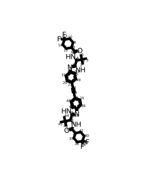 CC(C)(C)C(NC(=O)C1CCC(F)(F)CC1)c1nc2ccc(C#Cc3ccc4nc([C@@H](NC(=O)C5CCC(F)(F)CC5)C(C)(C)C)[nH]c4c3)cc2[nH]1